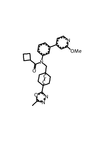 COc1cc(-c2cccc(N(CC34CCC(c5nnc(C)o5)(CC3)CC4)C(=O)C3CCC3)c2)ccn1